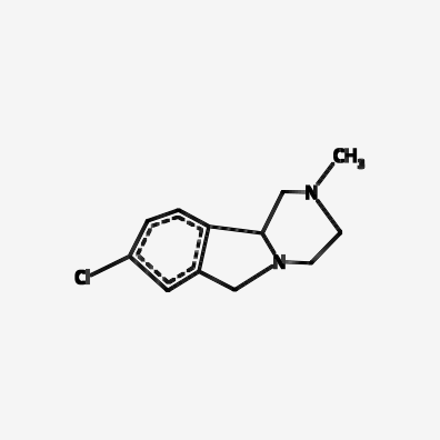 CN1CCN2Cc3cc(Cl)ccc3C2C1